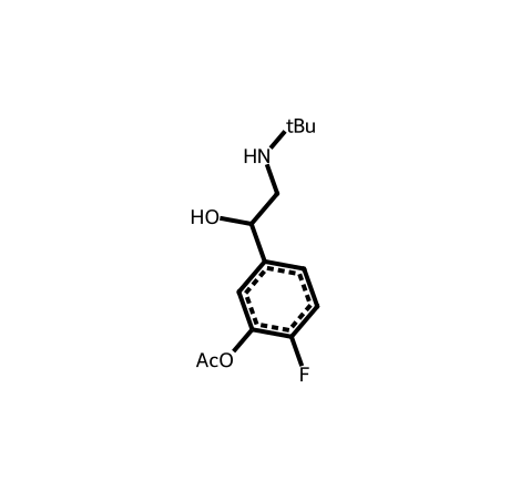 CC(=O)Oc1cc(C(O)CNC(C)(C)C)ccc1F